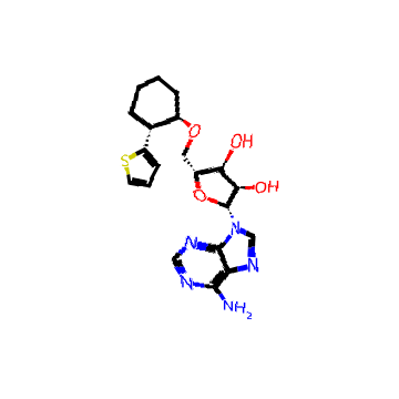 Nc1ncnc2c1ncn2[C@@H]1O[C@H](CO[C@@H]2CCCC[C@H]2c2cccs2)[C@@H](O)[C@H]1O